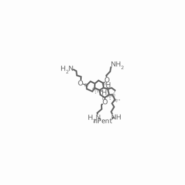 CCCCCNCCC[C@@H](C)[C@H]1CC[C@H]2C3[C@H](OCCCN)CC4C[C@H](OCCCN)CC[C@]4(C)[C@H]3C[C@H](OCCCN)[C@]12C